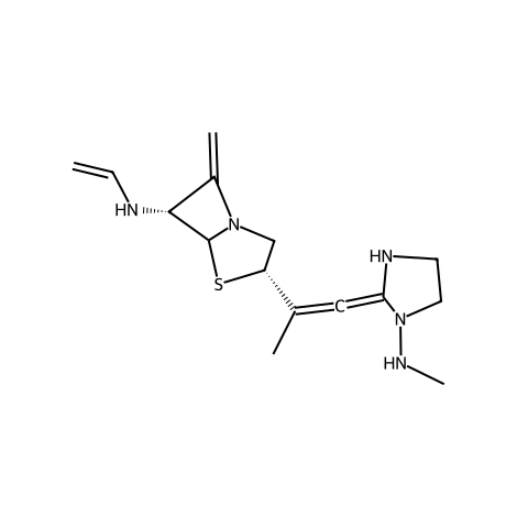 C=CN[C@@H]1C(=C)N2C[C@H](C(C)=C=C3NCCN3NC)SC12